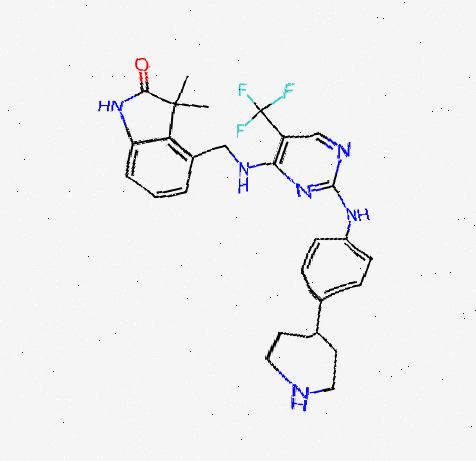 CC1(C)C(=O)Nc2cccc(CNc3nc(Nc4ccc(C5CCNCC5)cc4)ncc3C(F)(F)F)c21